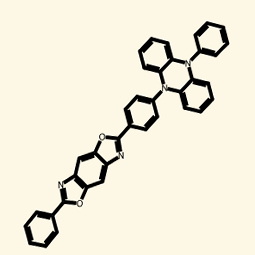 c1ccc(-c2nc3cc4oc(-c5ccc(N6c7ccccc7N(c7ccccc7)c7ccccc76)cc5)nc4cc3o2)cc1